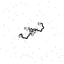 CC/C=C\C/C=C\C/C=C\CCCC(=O)NC(COC(=O)CCC/C=C\C/C=C\C/C=C\CC)CN(C)C